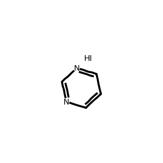 I.c1cncnc1